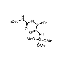 CCCCCCCCCCNC(=O)[N]N(CCC)C(=O)N[Si](OC)(OC)OC